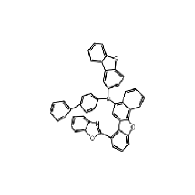 c1ccc(-c2ccc(N(c3ccc4sc5ccccc5c4c3)c3cc4c(oc5cccc(-c6nc7ccccc7o6)c54)c4ccccc34)cc2)cc1